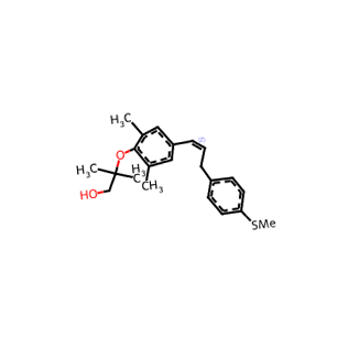 CSc1ccc(C/C=C\c2cc(C)c(OC(C)(C)CO)c(C)c2)cc1